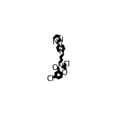 O=C1c2cc(Cl)ccc2OC=C(Cl)N1CCCCN1CCN(c2ncccn2)CC1